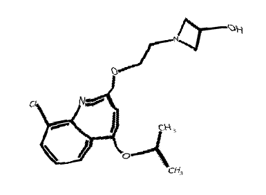 CC(C)Oc1cc(OCCN2CC(O)C2)nc2c(Cl)cccc12